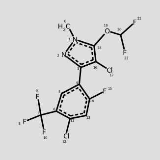 Cn1nc(-c2cc(C(F)(F)F)c(Cl)cc2F)c(Cl)c1OC(F)F